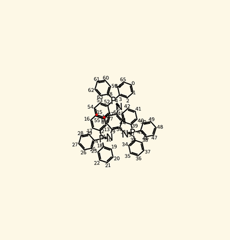 c1ccc(P(=Nc2ccc(N=P(c3ccccc3)(c3ccccc3)c3ccccc3)c(N=P(c3ccccc3)(c3ccccc3)c3ccccc3)c2)(c2ccccc2)c2ccccc2)cc1